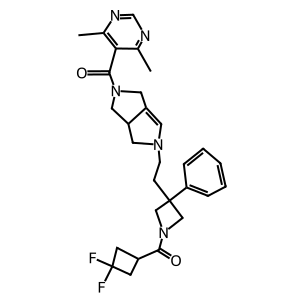 Cc1ncnc(C)c1C(=O)N1CC2=CN(CCC3(c4ccccc4)CN(C(=O)C4CC(F)(F)C4)C3)CC2C1